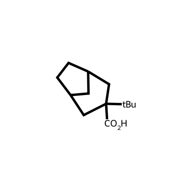 CC(C)(C)C1(C(=O)O)CC2CCC(C2)C1